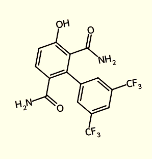 NC(=O)c1ccc(O)c(C(N)=O)c1-c1cc(C(F)(F)F)cc(C(F)(F)F)c1